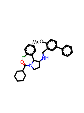 COc1ccc(-c2ccccc2)cc1CNC1CCN(C(=O)C2CCCCC2)C1c1ccccc1F